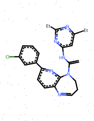 C=C(Nc1cc(CC)nc(CC)n1)N1CCC=Nc2ccc(-c3cccc(Cl)c3)nc21